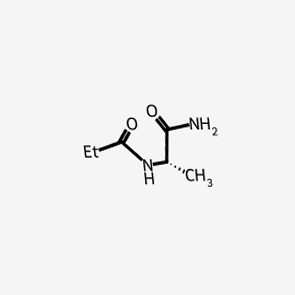 CCC(=O)N[C@@H](C)C(N)=O